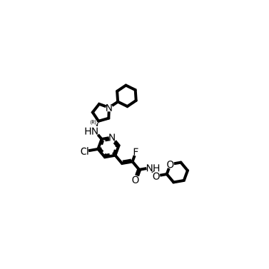 O=C(NOC1CCCCO1)C(F)=Cc1cnc(N[C@@H]2CCN(C3CCCCC3)C2)c(Cl)c1